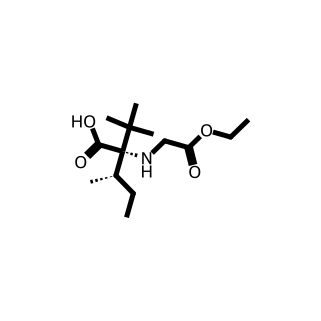 CCOC(=O)CN[C@@](C(=O)O)([C@@H](C)CC)C(C)(C)C